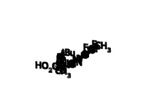 C[C@@H](NC(=O)[C@H](Cc1ccc(-c2ncc(-c3ccc(-c4ccc(C(C)(F)F)cc4F)cc3)cn2)cc1)NC(=O)c1ccc(C(C)(C)C)s1)C(=O)O